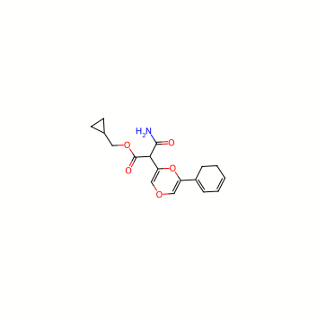 NC(=O)C(C(=O)OCC1CC1)C1=COC=C(C2=CC=CCC2)O1